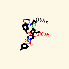 COCCCN1CCOc2ccc(CO[C@H]3CN(S(=O)(=O)c4ccc(C)cc4)CC[C@]3(O)c3ccc(Cl)cc3CCO)cc21